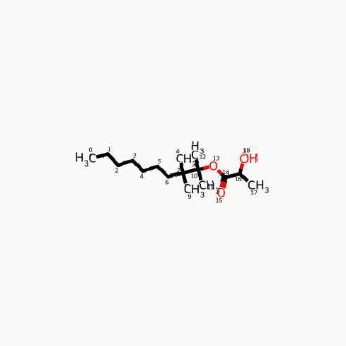 CCCCCCCC(C)(C)C(C)(C)OC(=O)C(C)O